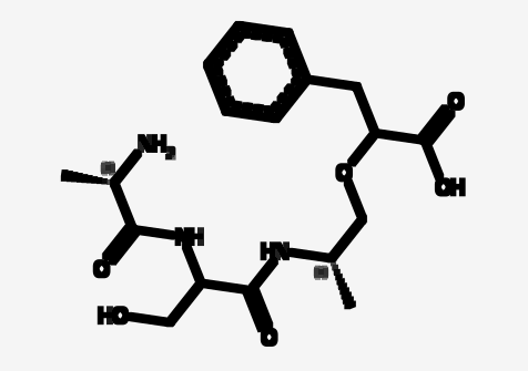 C[C@H](N)C(=O)NC(CO)C(=O)N[C@@H](C)COC(Cc1ccccc1)C(=O)O